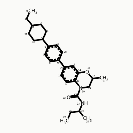 CCC1CCC(c2ccc(-c3ccc4c(c3)OC(C)CN4C(=O)NC(C)CC)cc2)CC1